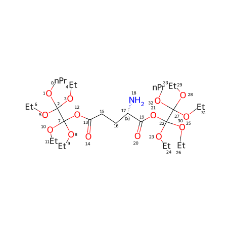 CCCOC(OCC)(OCC)C(OCC)(OCC)OC(=O)CC[C@H](N)C(=O)OC(OCC)(OCC)C(OCC)(OCC)OCCC